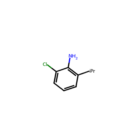 CC(C)c1cccc(Cl)c1N